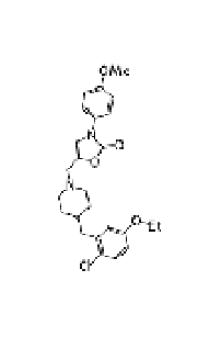 CCOc1ccc(Cl)c(CC2CCN(CC3CN(c4ccc(OC)cc4)C(=O)O3)CC2)c1